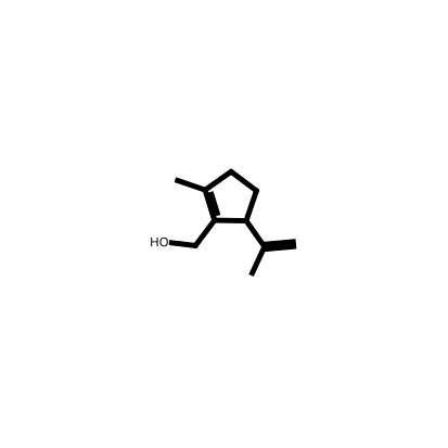 C=C(C)C1CCC(C)=C1CO